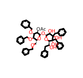 CC(=O)O[C@H]1[C@H](O[C@H]2O[C@H](C(O)Cc3ccccc3)[C@](O)(Cc3ccccc3)[C@@](O)(Cc3ccccc3)[C@@H]2O)O[C@H](COCc2ccccc2)[C@@H](OCc2ccccc2)[C@@H]1OCc1ccccc1